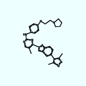 Cc1cnc(Nc2ccc(OCCN3CCCC3)cc2)nc1-c1cc2cc(-c3c(C)noc3C)ccc2s1